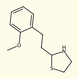 COc1ccccc1CCC1NCCS1